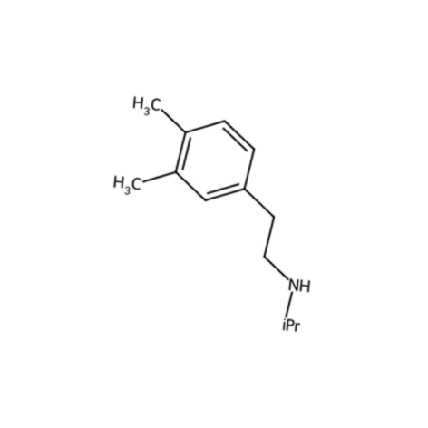 Cc1ccc(CCNC(C)C)cc1C